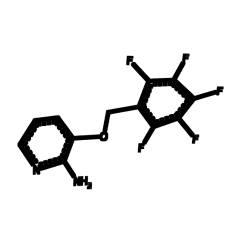 Nc1ncccc1OCc1c(F)c(F)c(F)c(F)c1F